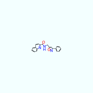 O=C(NCc1cc(-c2ccccc2)no1)c1ccc2ccccc2n1